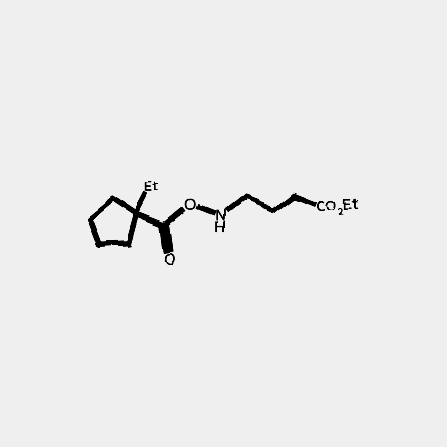 CCOC(=O)CCCNOC(=O)C1(CC)CCCC1